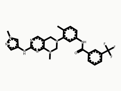 Cc1ccc(NC(=O)c2cccc(C(F)(F)F)c2)cc1N1Cc2cnc(Nc3cnn(C)c3)nc2N(C)C1